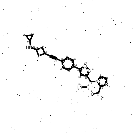 C[C@H](O)c1nccn1[C@H](CN)c1cc(-c2ccc(C#CC3CC(NC4CC4)C3)cc2)on1